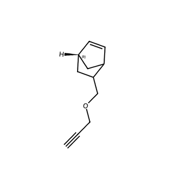 C#CCOCC1C[C@@H]2C=CC1C2